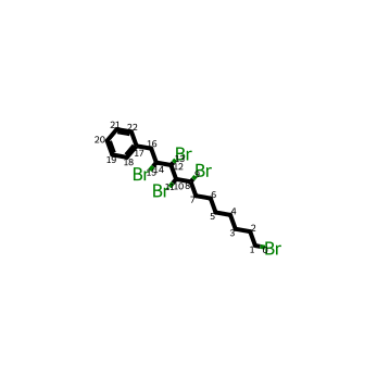 BrCCCCCCCC(Br)C(Br)C(Br)C(Br)Cc1ccccc1